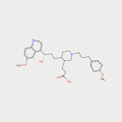 COc1ccc(CCCN2CCC(CC[C@H](O)c3ccnc4ccc(OC)cc34)C(CCC(=O)O)C2)cc1